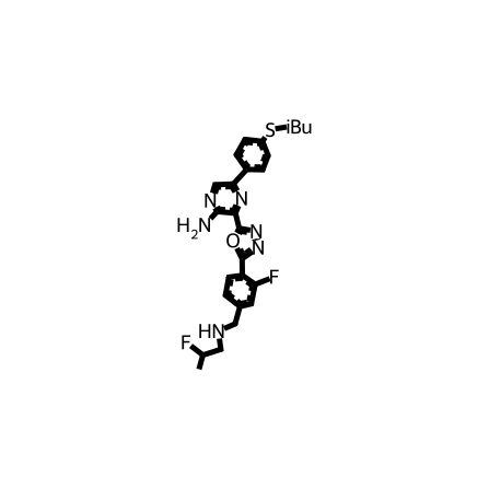 CCC(C)Sc1ccc(-c2cnc(N)c(-c3nnc(-c4ccc(CNCC(C)F)cc4F)o3)n2)cc1